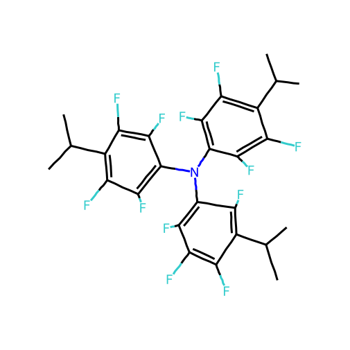 CC(C)c1c(F)c(F)c(N(c2c(F)c(F)c(C(C)C)c(F)c2F)c2c(F)c(F)c(F)c(C(C)C)c2F)c(F)c1F